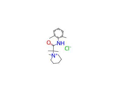 Cc1cccc(C)c1NC(=O)C(C)(C)[N+]1(C)CCCCC1.[Cl-]